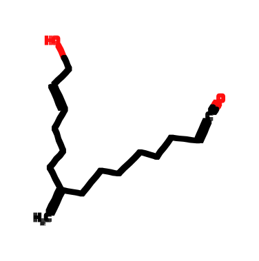 C=C(CCCC=CCO)CCCCCCC=C=O